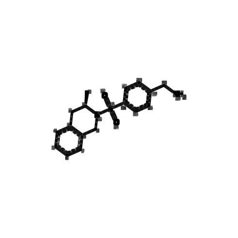 C[C@@H]1Cc2ccccc2CN1S(=O)(=O)c1ccc(CN)cc1